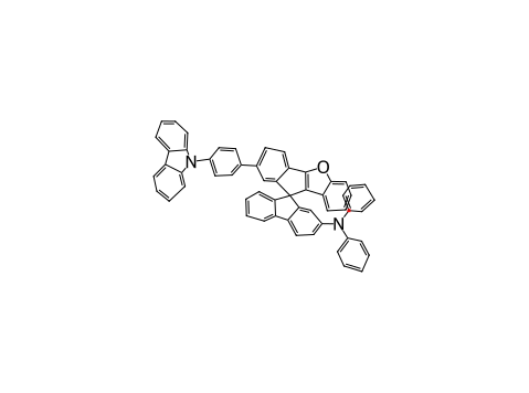 c1ccc(N(c2ccccc2)c2ccc3c(c2)C2(c4ccccc4-3)c3cc(-c4ccc(-n5c6ccccc6c6ccccc65)cc4)ccc3-c3oc4ccccc4c32)cc1